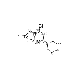 Cc1cc2nc(C3CCCCC3)cc(Cl)n2n1